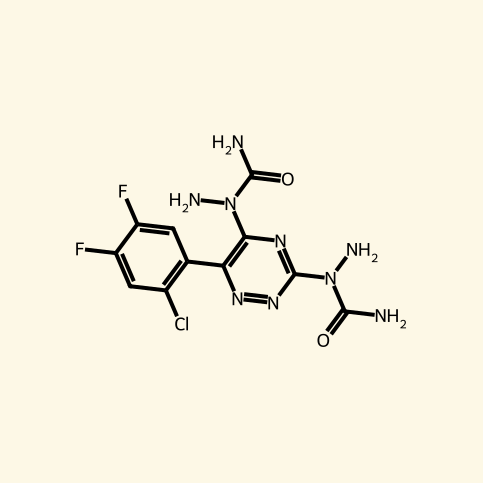 NC(=O)N(N)c1nnc(-c2cc(F)c(F)cc2Cl)c(N(N)C(N)=O)n1